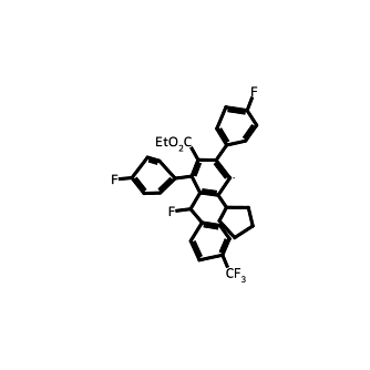 CCOC(=O)c1c(-c2ccc(F)cc2)[c]c(C2CCCC2)c(C(F)c2ccc(C(F)(F)F)cc2)c1-c1ccc(F)cc1